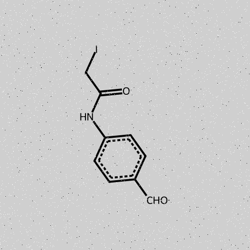 O=[C]c1ccc(NC(=O)CI)cc1